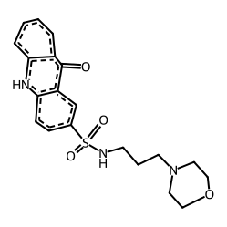 O=c1c2ccccc2[nH]c2ccc(S(=O)(=O)NCCCN3CCOCC3)cc12